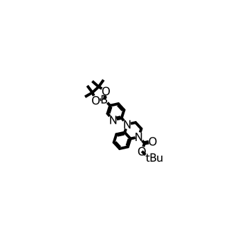 CC(C)(C)OC(=O)N1CCN(c2ccc(B3OC(C)(C)C(C)(C)O3)cn2)c2ccccc21